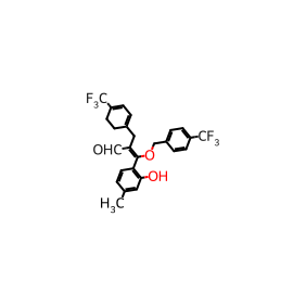 Cc1ccc(/C(OCc2ccc(C(F)(F)F)cc2)=C(\C=O)CC2=CC=C(C(F)(F)F)CC2)c(O)c1